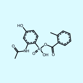 CC(=O)Nc1cc(O)ccc1[As](=O)(O)OC(=O)c1ccccc1C